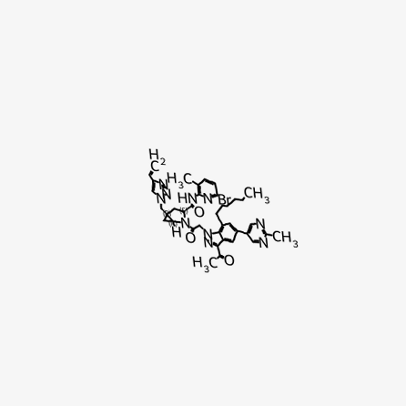 C=Cc1cn(C[C@@]23C[C@@H](C(=O)Nc4nc(Br)ccc4C)N(C(=O)Cn4nc(C(C)=O)c5cc(-c6cnc(C)nc6)cc(CCCCCC)c54)[C@@H]2C3)nn1